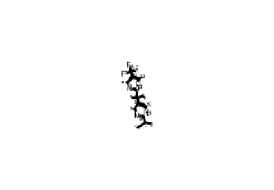 CC(C)c1ncc(C(C)(C)c2ncc(C(F)(F)F)cn2)cn1